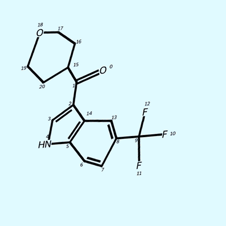 O=C(c1c[nH]c2ccc(C(F)(F)F)cc12)C1CCOCC1